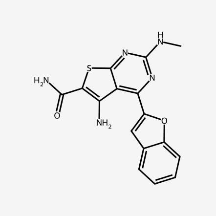 CNc1nc(-c2cc3ccccc3o2)c2c(N)c(C(N)=O)sc2n1